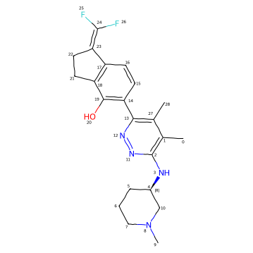 Cc1c(N[C@@H]2CCCN(C)C2)nnc(-c2ccc3c(c2O)CCC3=C(F)F)c1C